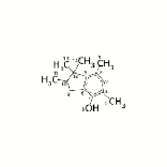 Cc1cc(C)c2c(c1O)CC(C)C2(C)C